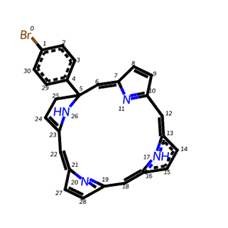 Brc1ccc(C23C=C4C=CC(=N4)C=c4ccc([nH]4)=CC4=NC(=CC(=CC2)N3)C=C4)cc1